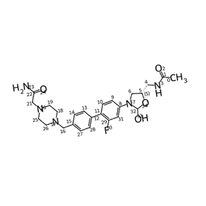 CC(=O)NC[C@H]1CN(c2ccc(-c3ccc(CN4CCN(CC(N)=O)CC4)cc3)c(F)c2)C(O)O1